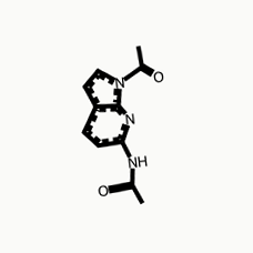 CC(=O)Nc1ccc2ccn(C(C)=O)c2n1